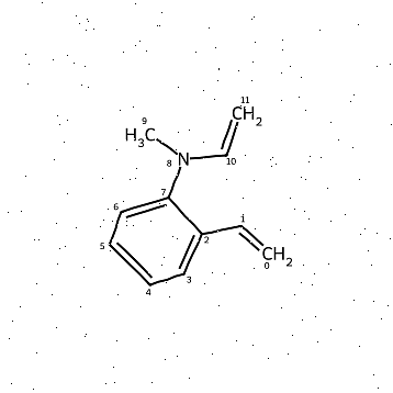 C=Cc1ccccc1N(C)C=C